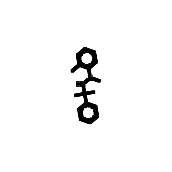 Cc1ccccc1N(C)NC(C)(C)c1ccccc1